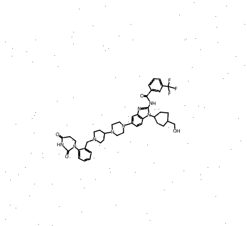 O=C1CCN(c2ccccc2CN2CCC(N3CCN(c4ccc5c(c4)nc(NC(=O)c4cccc(C(F)(F)F)c4)n5C4CCC(CO)CC4)CC3)CC2)C(=O)N1